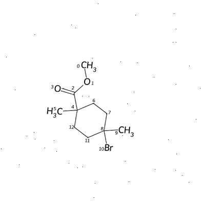 COC(=O)C1(C)CCC(C)(Br)CC1